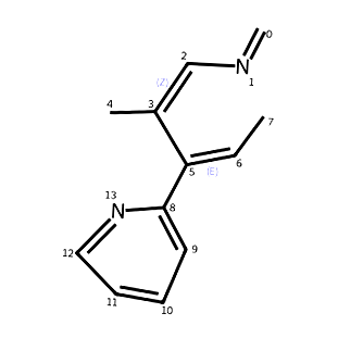 C=N/C=C(C)\C(=C/C)c1ccccn1